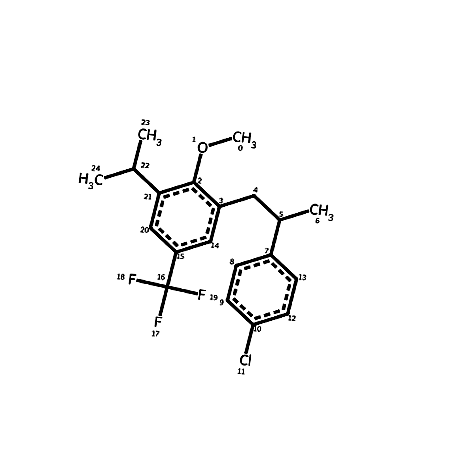 COc1c(CC(C)c2ccc(Cl)cc2)cc(C(F)(F)F)cc1C(C)C